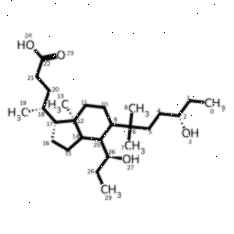 CC[C@H](O)CCC(C)(C)C1CC[C@@]2(C)C(CC[C@@H]2[C@H](C)CCC(=O)O)C1[C@@H](O)CC